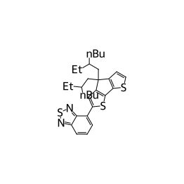 CCCCC(CC)CC1(CC(CC)CCCC)c2ccsc2-c2sc(-c3cccc4nsnc34)cc21